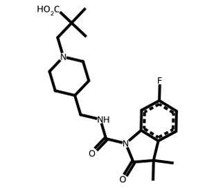 CC(C)(CN1CCC(CNC(=O)N2C(=O)C(C)(C)c3ccc(F)cc32)CC1)C(=O)O